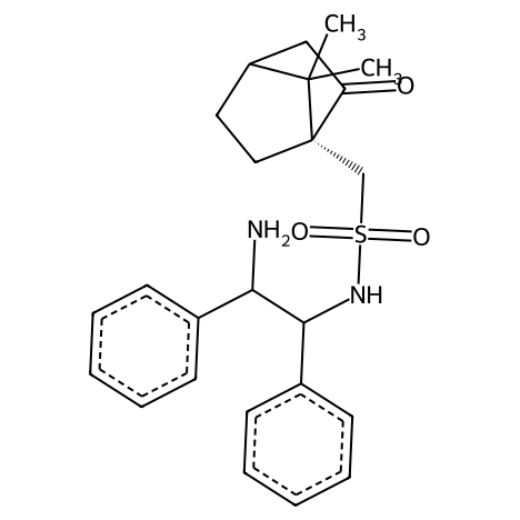 CC1(C)C2CC[C@]1(CS(=O)(=O)NC(c1ccccc1)C(N)c1ccccc1)C(=O)C2